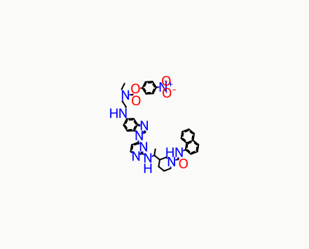 CCN(CCNc1ccc2c(c1)ncn2-c1ccnc(NC(C)C2CCCN(C(=O)Nc3cccc4ccccc34)C2)n1)C(=O)Oc1ccc([N+](=O)[O-])cc1